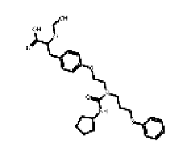 CCOC(Cc1ccc(OCCN(CCCSc2ccccc2)C(=O)NC2CCCC2)cc1)C(=O)O